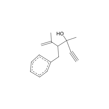 C#CC(C)(O)C(Cc1ccccc1)C(=C)C